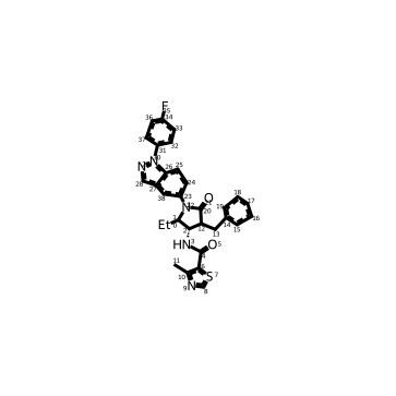 CCC1[C@@H](NC(=O)c2scnc2C)C(Cc2ccccc2)C(=O)N1c1ccc2c(cnn2-c2ccc(F)cc2)c1